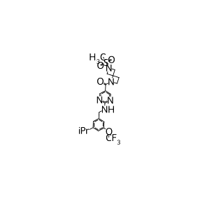 CC(C)c1cc(CNc2ncc(C(=O)N3CCC34CN(S(C)(=O)=O)C4)cn2)cc(OC(F)(F)F)c1